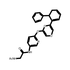 CC(=O)NCC(=O)Nc1ccc(OC2=COC=C(C3=CC=CCC3c3ccccc3)O2)nc1